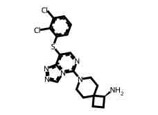 N[C@H]1CCC12CCN(c1ncc(Sc3cccc(Cl)c3Cl)c3nncn13)CC2